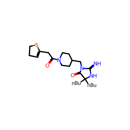 CCCCC1(CCCC)NC(=N)N(CC2CCN(C(=O)CC3=CCCS3)CC2)C1=O